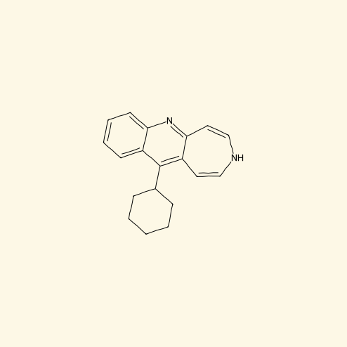 C1=Cc2nc3ccccc3c(C3CCCCC3)c2C=CN1